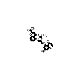 CC(=O)OC(COc1cc([18F])cc2occc(=O)c12)COc1cccc2oc(C(=O)O)cc(=O)c12